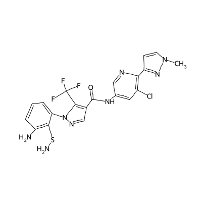 Cn1ccc(-c2ncc(NC(=O)c3cnn(-c4cccc(N)c4SN)c3C(F)(F)F)cc2Cl)n1